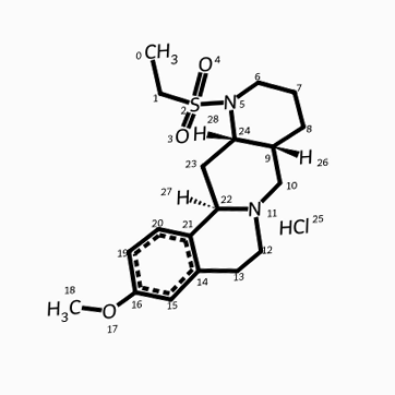 CCS(=O)(=O)N1CCC[C@@H]2CN3CCc4cc(OC)ccc4[C@H]3C[C@@H]21.Cl